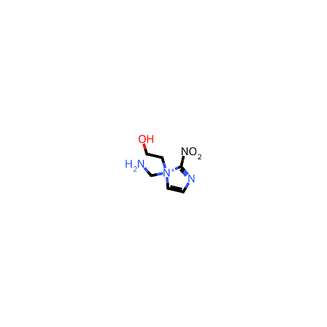 NC[N+]1(CCO)C=CN=C1[N+](=O)[O-]